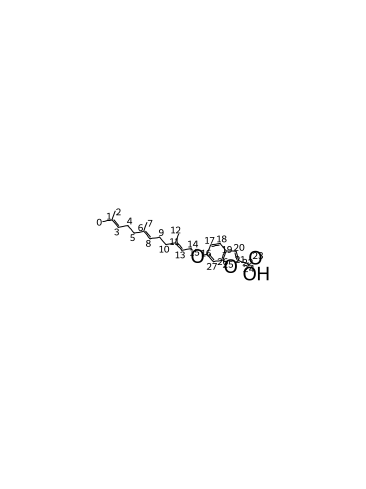 CC(C)=CCC/C(C)=C/CC/C(C)=C/COc1ccc2cc(C(=O)O)oc2c1